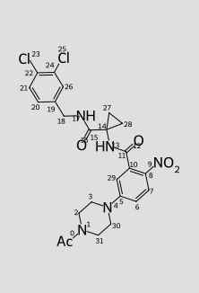 CC(=O)N1CCN(c2ccc([N+](=O)[O-])c(C(=O)NC3(C(=O)NCc4ccc(Cl)c(Cl)c4)CC3)c2)CC1